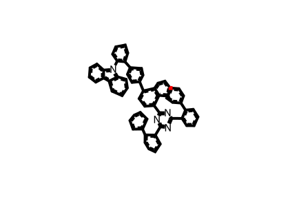 c1ccc(-c2ccccc2-c2nc(-c3ccccc3-c3ccccc3)nc(-c3ccc(-c4ccc(-c5ccccc5-n5c6ccccc6c6ccccc65)cc4)c4ccccc34)n2)cc1